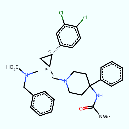 CN(Cc1ccccc1)C(=O)O.CNC(=O)NC1(c2ccccc2)CCN(C[C@@H]2C[C@@H]2c2ccc(Cl)c(Cl)c2)CC1